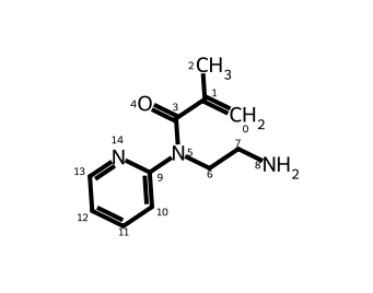 C=C(C)C(=O)N(CCN)c1ccccn1